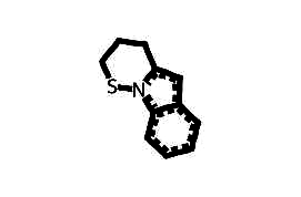 c1ccc2c(c1)cc1n2SCCC1